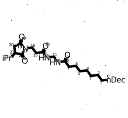 CCCCCCCCCCCCCCCCCC(=O)NCNC(=O)CCN1C(=O)CC(C(C)C)C1=O